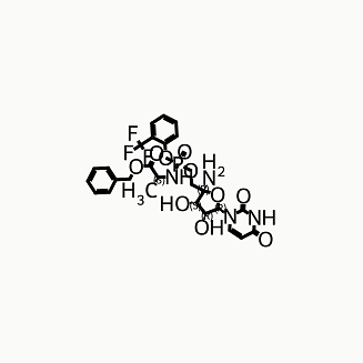 C[C@H](NP(=O)(OC[C@@]1(N)O[C@@H](n2ccc(=O)[nH]c2=O)[C@H](O)[C@@H]1O)Oc1ccccc1C(F)(F)F)C(=O)OCc1ccccc1